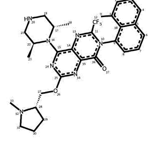 Cc1cccc2cccc(-n3c(C(F)(F)F)nc4c(N5[C@@H](C)CNC[C@@H]5C)nc(OC[C@@H]5CCCN5C)nc4c3=O)c12